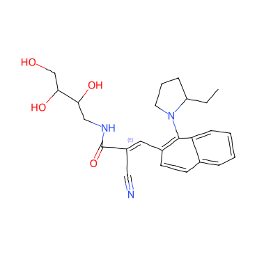 CCC1CCCN1c1c(/C=C(\C#N)C(=O)NCC(O)C(O)CO)ccc2ccccc12